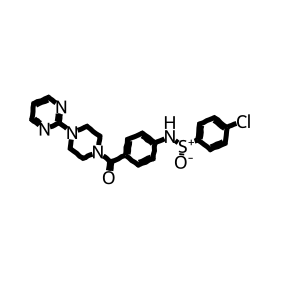 O=C(c1ccc(N[S+]([O-])c2ccc(Cl)cc2)cc1)N1CCN(c2ncccn2)CC1